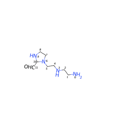 NCCNCCN1CCNC1C=O